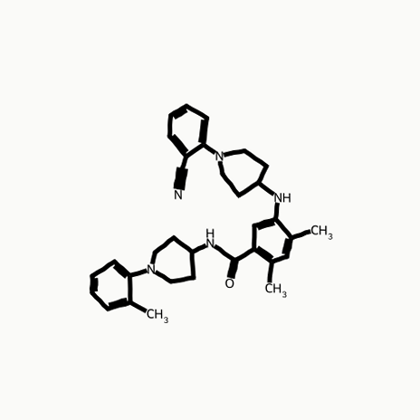 Cc1cc(C)c(C(=O)NC2CCN(c3ccccc3C)CC2)cc1NC1CCN(c2ccccc2C#N)CC1